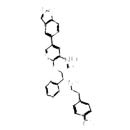 CCn1ncc2cc(-c3cnc4c(c3)NC[C@@H]([C@H](NCCc3ccc(C#N)cc3)c3ccccc3)O4)ccc21